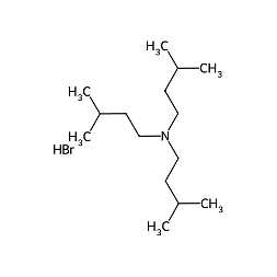 Br.CC(C)CCN(CCC(C)C)CCC(C)C